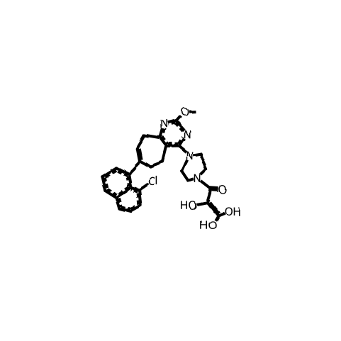 COc1nc2c(c(N3CCN(C(=O)C(O)=C(O)O)CC3)n1)CCC(c1cccc3cccc(Cl)c13)=CC2